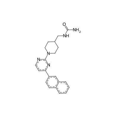 NC(=O)NCC1CCN(c2nccc(-c3ccc4ccccc4c3)n2)CC1